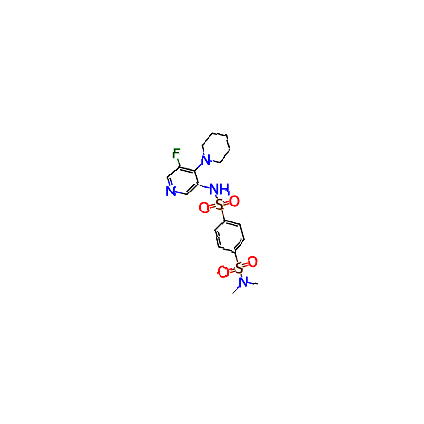 CN(C)S(=O)(=O)c1ccc(S(=O)(=O)Nc2cncc(F)c2N2CCCCC2)cc1